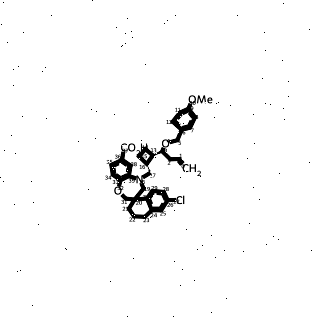 C=CCC(OCc1ccc(OC)cc1)[C@@H]1CC[C@H]1CN1CC2(CCCc3cc(Cl)ccc32)COc2ccc(C(=O)O)cc21